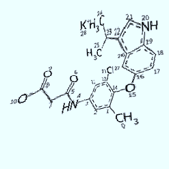 Cc1cc(NC(=O)CC(=O)[O-])cc(Cl)c1Oc1ccc2[nH]cc(C(C)C)c2c1.[K+]